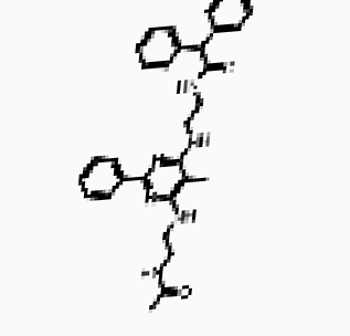 CC(=O)NCCNc1nc(-c2ccccc2)nc(NCCNC(=O)C(c2ccccc2)c2ccccc2)c1C